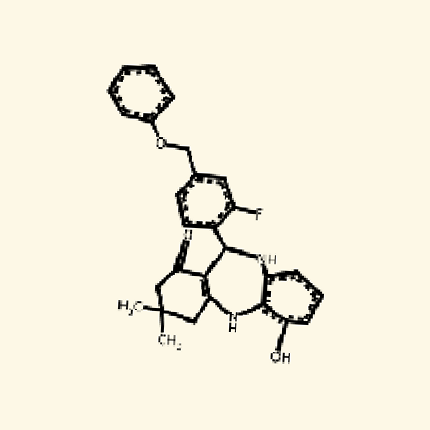 CC1(C)CC(=O)C2=C(C1)Nc1c(O)cccc1NC2c1ccc(COc2ccccc2)cc1F